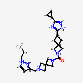 O=C(N1CC2(CC(c3nc(C4CC4)n[nH]3)C2)C1)N1CC2(CN(Cc3ccn(CCC(F)(F)F)n3)C2)C1